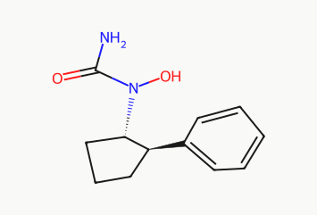 NC(=O)N(O)[C@H]1CCC[C@@H]1c1ccccc1